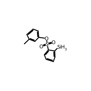 Cc1cccc(OS(=O)(=O)c2ccccc2[SiH3])c1